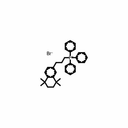 CC1(C)CCC(C)(C)c2cc(CCC[P+](c3ccccc3)(c3ccccc3)c3ccccc3)ccc21.[Br-]